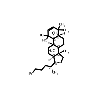 CC(C)CCC[C@@H](C)[C@H]1CC[C@]2(C)[C@@H]1CC[C@@H]1[C@]3(C)[C@@H](CC[C@]12C)C(C)(C)C=CC3(O)O